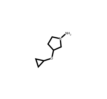 NN1CCC(OC2CC2)C1